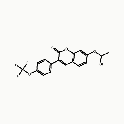 CC(O)Oc1ccc2cc(-c3ccc(OC(F)(F)F)cc3)c(=O)oc2c1